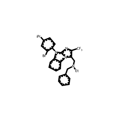 CCN(Cc1ccccc1)Cc1c(C(F)(F)F)nc2n(-c3ccc(C(C)C)cc3Br)c3ccccc3n12